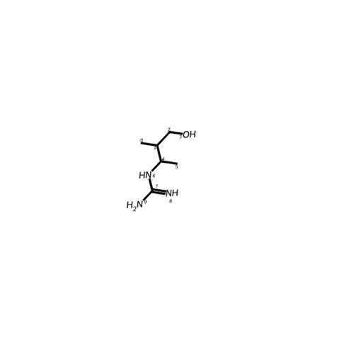 CC(CO)C(C)NC(=N)N